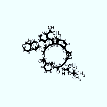 CC(C)c1ncc(N2CCN3CCOC[C@@H]3C2)cc1-c1[nH]c2ccc3cc2c1CC(C)(C)COC(=O)[C@@H]1CCCN(N1)C(=O)[C@@H](NC(=O)OC(C)(C)C)Cc1nc-3cs1